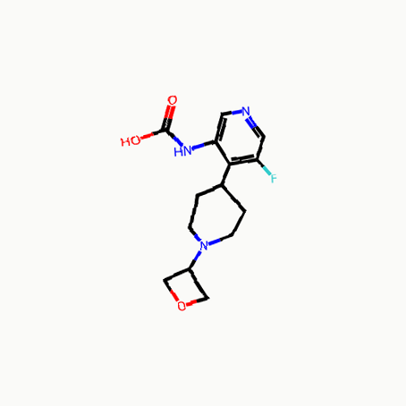 O=C(O)Nc1cncc(F)c1C1CCN(C2COC2)CC1